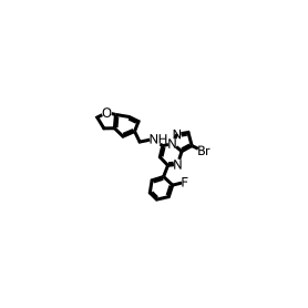 Fc1ccccc1-c1cc(NCc2ccc3c(c2)CCO3)n2ncc(Br)c2n1